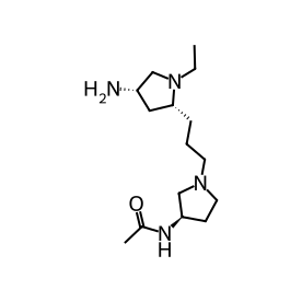 CCN1C[C@@H](N)C[C@H]1CCCN1CC[C@@H](NC(C)=O)C1